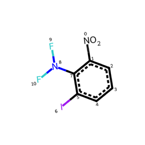 O=[N+]([O-])c1cccc(I)c1N(F)F